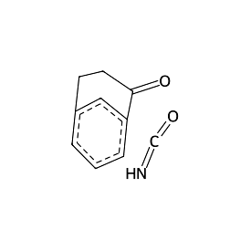 N=C=O.O=C1CCc2cccc1c2